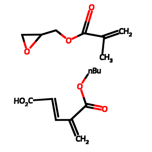 C=C(C)C(=O)OCC1CO1.C=C(C=CC(=O)O)C(=O)OCCCC